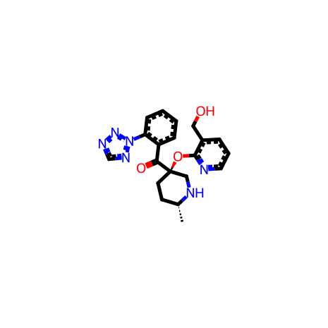 C[C@@H]1CC[C@](Oc2ncccc2CO)(C(=O)c2ccccc2-n2ncnn2)CN1